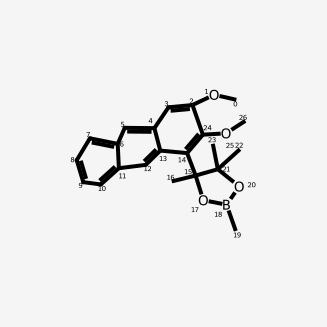 COc1cc2cc3ccccc3cc2c(C2(C)OB(C)OC2(C)C)c1OC